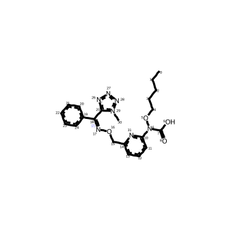 CCCCCON(C(=O)O)c1cccc(CO/N=C(/c2ccccc2)c2nnnn2C)n1